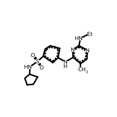 CCNc1ncc(C)c(Nc2cccc(S(=O)(=O)NC3CCCC3)c2)n1